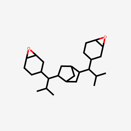 C[C](C)C(C1CCC2OC2C1)C1CC2CC1CC2C([C](C)C)C1CCC2OC2C1